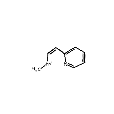 CP/C=C\c1ccccn1